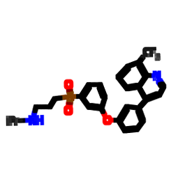 CC(C)NCCCS(=O)(=O)c1cccc(Oc2cccc(-c3ccnc4c(C(F)(F)F)cccc34)c2)c1